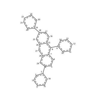 c1ccc(-c2ccc3c(-c4ccccc4)c4ccc(-c5ccccc5)cc4cc3c2)cc1